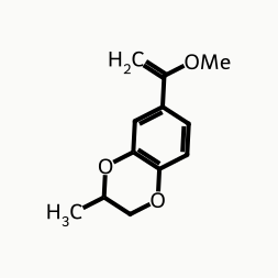 C=C(OC)c1ccc2c(c1)OC(C)CO2